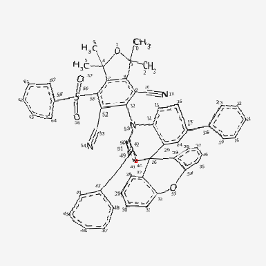 CC1(C)OC(C)(C)c2c1c(C#N)c(N1c3ccc(-c4ccccc4)cc3C3(c4ccccc4Oc4ccccc43)c3cc(-c4ccccc4)ccc31)c(C#N)c2S(=O)(=O)c1ccccc1